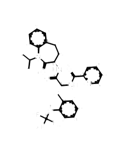 CC(C)N1C(=O)[C@H](NC(=O)[C@@H](Cc2ccccc2OC(F)(F)F)NC(=O)c2ccccn2)CCc2ccccc21